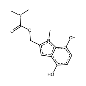 CN(C)C(=O)OCc1cc2c(O)ccc(O)c2n1C